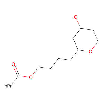 CCCC(=O)OCCCCC1CC([O])CCO1